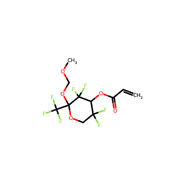 C=CC(=O)OC1C(F)(F)COC(OCOC)(C(F)(F)F)C1(F)F